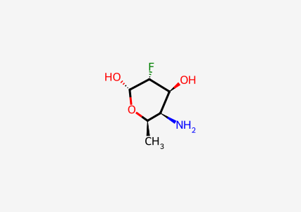 C[C@H]1O[C@H](O)[C@H](F)[C@@H](O)[C@H]1N